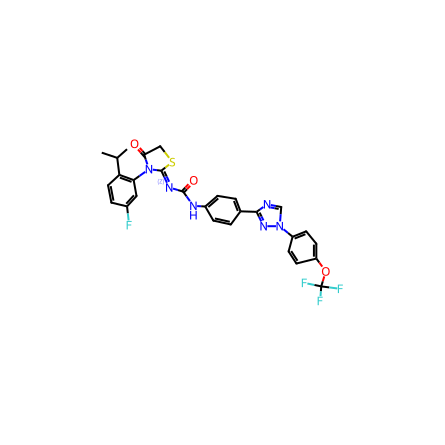 CC(C)c1ccc(F)cc1N1C(=O)CS/C1=N\C(=O)Nc1ccc(-c2ncn(-c3ccc(OC(F)(F)F)cc3)n2)cc1